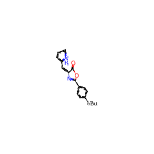 CCCCc1ccc(C2=N/C(=C/c3ccc[nH]3)C(=O)O2)cc1